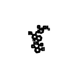 CCc1cnc2c(NC(=O)c3c(Cl)cccc3Cl)cccc2c1CN1CCN(C)C1=O